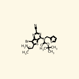 C[C@H](N)Cc1sc2c(N(Cc3cccs3)C(=O)OC(C)(C)C)nc(C#N)nc2c1Br